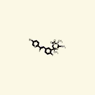 CN1C(N)=N[C@](C)(c2cc(/C=C(\F)c3ccc(Br)cn3)ccc2F)CS1(=O)=O